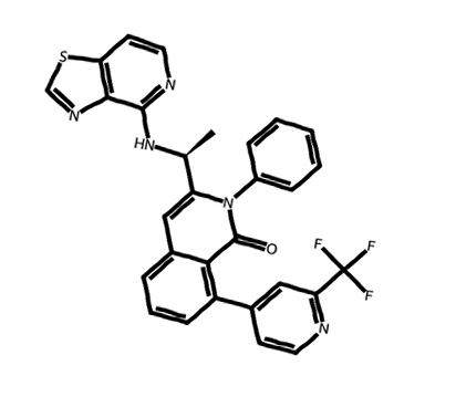 C[C@H](Nc1nccc2scnc12)c1cc2cccc(-c3ccnc(C(F)(F)F)c3)c2c(=O)n1-c1ccccc1